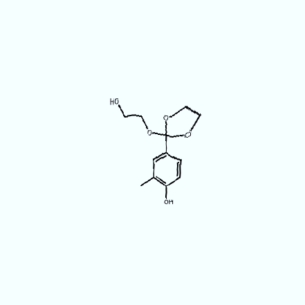 Cc1cc(C2(OCCO)OCCO2)ccc1O